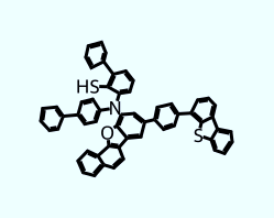 Sc1c(-c2ccccc2)cccc1N(c1ccc(-c2ccccc2)cc1)c1cc(-c2ccc(-c3cccc4c3sc3ccccc34)cc2)cc2c1oc1c3ccccc3ccc21